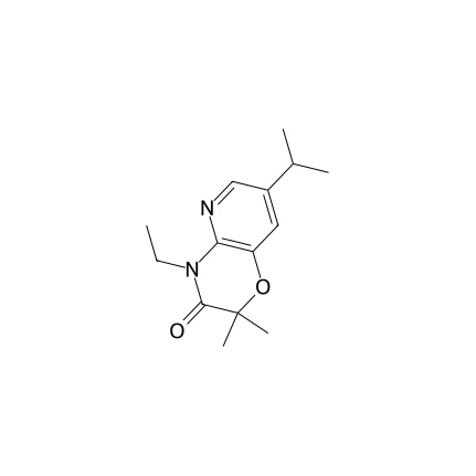 CCN1C(=O)C(C)(C)Oc2cc(C(C)C)cnc21